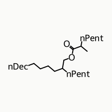 CCCCCCCCCCCCCCC(CCCCC)COC(=O)C(C)CCCCC